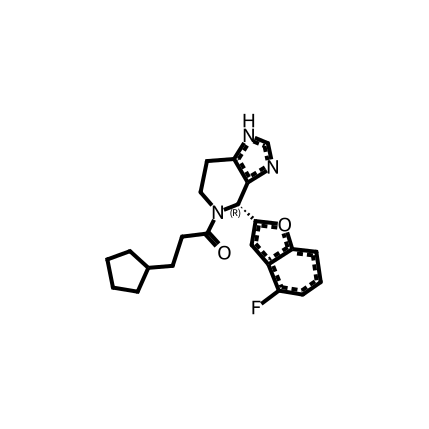 O=C(CCC1CCCC1)N1CCc2[nH]cnc2[C@@H]1c1cc2c(F)cccc2o1